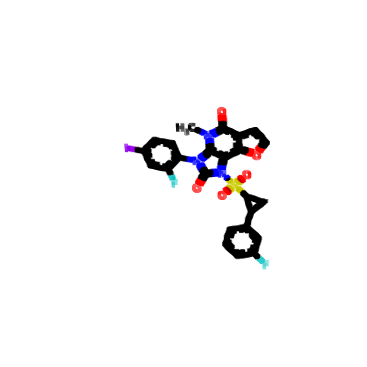 Cn1c(=O)c2ccoc2c2c1n(-c1ccc(I)cc1F)c(=O)n2S(=O)(=O)C1CC1c1cccc(F)c1